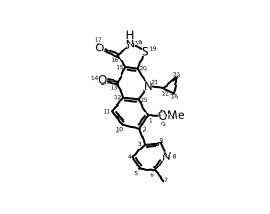 COc1c(-c2ccc(C)nc2)ccc2c(=O)c3c(=O)[nH]sc3n(C3CC3)c12